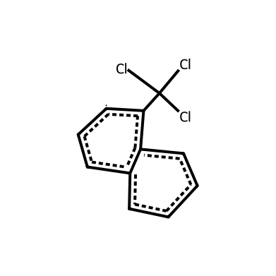 ClC(Cl)(Cl)c1[c]ccc2ccccc12